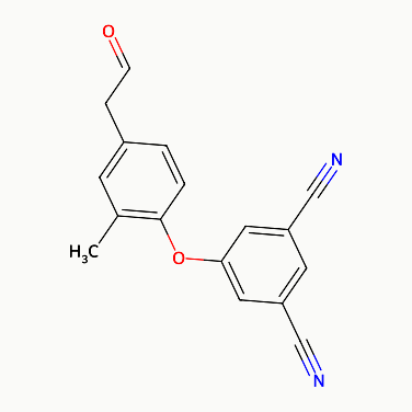 Cc1cc(CC=O)ccc1Oc1cc(C#N)cc(C#N)c1